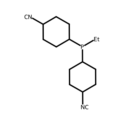 [C-]#[N+]C1CCC(P(CC)C2CCC([N+]#[C-])CC2)CC1